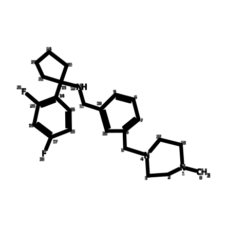 CN1CCN(Cc2cccc(CNC3(c4ccc(F)cc4F)CCCC3)c2)CC1